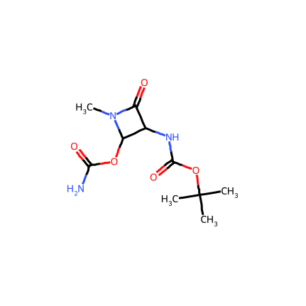 CN1C(=O)C(NC(=O)OC(C)(C)C)C1OC(N)=O